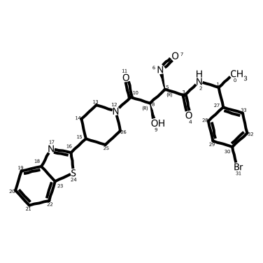 CC(NC(=O)[C@H](N=O)[C@@H](O)C(=O)N1CCC(c2nc3ccccc3s2)CC1)c1ccc(Br)cc1